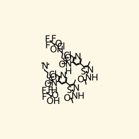 CC(=O)Nc1nc(C)c(-c2cnc(Cl)c(NS(=O)(=O)CCCCl)c2)s1.CC(=O)Nc1nc(C)c(-c2cnc(Cl)c(NS(=O)(=O)CCCN(C)C)c2)s1.O=C(O)C(F)(F)F.O=C(O)C(F)(F)F